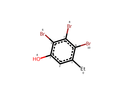 CCc1cc(O)c(Br)c(Br)c1Br